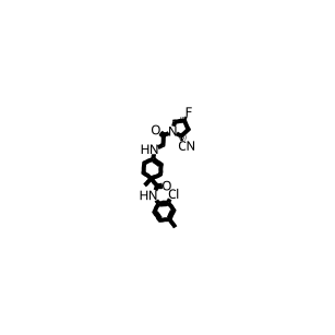 Cc1ccc(NC(=O)C2(C)CC=C(NCC(=O)N3C[C@@H](F)C[C@H]3C#N)CC2)c(Cl)c1